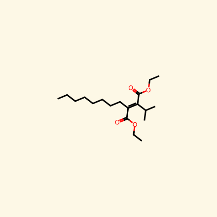 CCCCCCCCC(C(=O)OCC)=C(C(=O)OCC)C(C)C